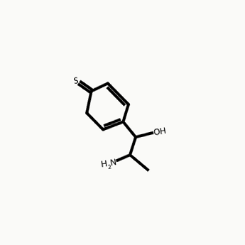 CC(N)C(O)C1=CCC(=S)C=C1